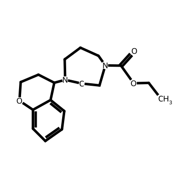 CCOC(=O)N1CCCN(C2CCOc3ccccc32)CC1